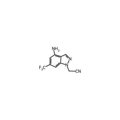 N#CCn1ncc2c(N)cc(C(F)(F)F)cc21